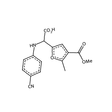 COC(=O)c1cc(C(Nc2ccc(C#N)cc2)C(=O)O)oc1C